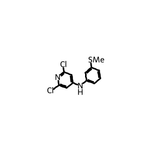 CSc1cccc(Nc2cc(Cl)nc(Cl)c2)c1